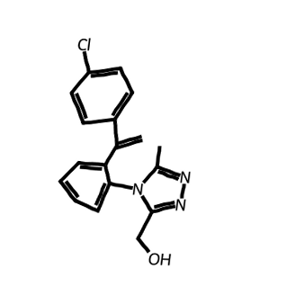 C=C(c1ccc(Cl)cc1)c1ccccc1-n1c(C)nnc1CO